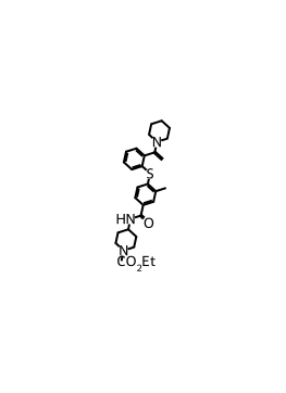 C=C(c1ccccc1Sc1ccc(C(=O)NC2CCN(C(=O)OCC)CC2)cc1C)N1CCCCC1